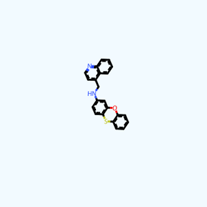 c1ccc2c(c1)Oc1cc(NCc3ccnc4ccccc34)ccc1S2